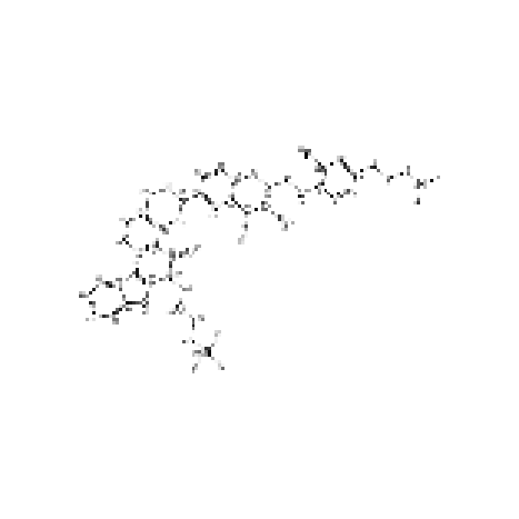 CN(C)CCCc1ccc(OCCCc2ccc(N3CCc4cccc(C(=O)N(COCC[Si](C)(C)C)c5nc6ccccc6s5)c4C3)nc2C(=O)OC(C)(C)C)c(F)c1